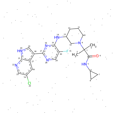 CC(C)(C(=O)NC1CC1)N1CCCC(Nc2nc(-c3c[nH]c4ncc(Cl)cc34)ncc2F)C1